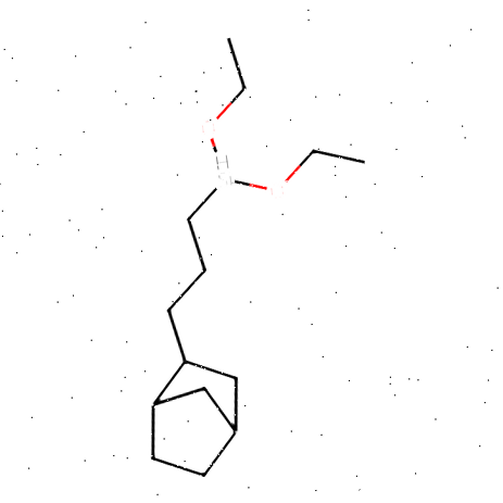 CCO[SiH](CCCC1CC2CCC1C2)OCC